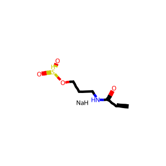 C=CC(=O)NCCCO[SH](=O)=O.[NaH]